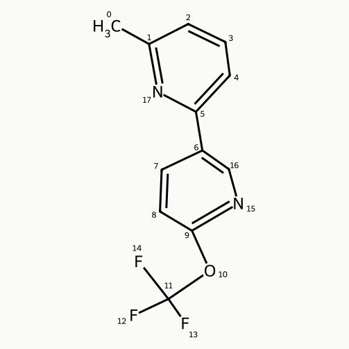 Cc1cccc(-c2ccc(OC(F)(F)F)nc2)n1